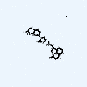 O=C1CSc2ccc(N3C[C@H](CNCC4Cn5c(=O)ccc6cccc4c65)OC3=O)nc2N1